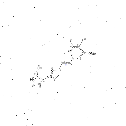 COc1cc(/C=C/c2ccc(-c3nn[nH]c3C#N)o2)cc(F)c1F